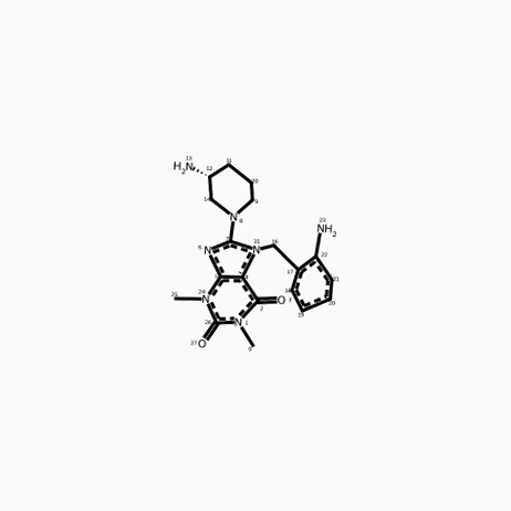 Cn1c(=O)c2c(nc(N3CCC[C@@H](N)C3)n2Cc2ccccc2N)n(C)c1=O